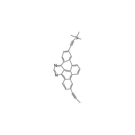 CC#Cc1ccc2c(c1)c1cccc3c4cc(C#C[Si](C)(C)C)ccc4c4ncnc2c4c13